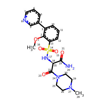 COc1c(-c2cccnc2)cccc1S(=O)(=O)N[C@@H](C(N)=O)C(=O)N1CCN(C)CC1